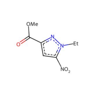 CCn1nc(C(=O)OC)cc1[N+](=O)[O-]